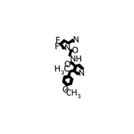 COc1ccc(C(C)c2cnccc2C(=O)NCC(=O)N2CC(F)(F)CC2C#N)cc1